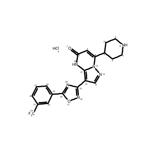 Cl.O=c1cc(C2CCNCC2)n2ncc(-c3noc(-c4cccc(C(F)(F)F)c4)n3)c2[nH]1